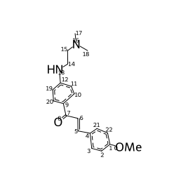 COc1ccc(C=CC(=O)c2ccc(NCCN(C)C)cc2)cc1